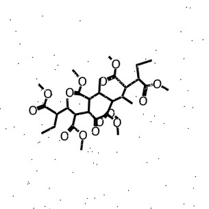 CCC(C(=O)OC)C(C)C(C(=O)OC)C(C(=O)OC)C(C(=O)OC)C(C)C(C(=O)OC)C(C)C(C(=O)OC)C(CC)C(=O)OC